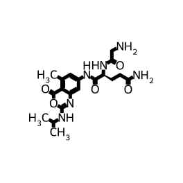 Cc1cc(NC(=O)[C@H](CCC(N)=O)NC(=O)CN)cc2nc(NC(C)C)oc(=O)c12